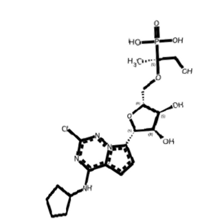 C[C@](CO)(OC[C@H]1O[C@@H](c2ccc3c(NC4CCCC4)nc(Cl)nn23)[C@H](O)[C@@H]1O)P(=O)(O)O